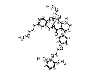 COCCCc1cc(CN(C(=O)C2=C(c3ccc(OCCOc4c(C)cccc4C)cc3)CCNC2COCOC)C2CC2)c(Cl)cn1